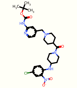 CC(C)(C)OC(=O)Nc1cc(CN2CCC(C(=O)N3CCC(Nc4ccc(Cl)cc4[N+](=O)[O-])CC3)CC2)ccn1